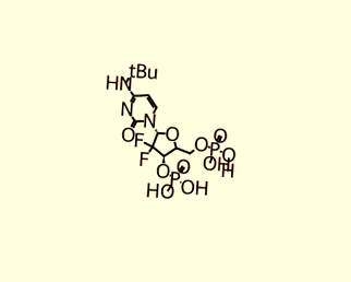 CC(C)(C)Nc1ccn([C@@H]2OC(COP(=O)(O)O)[C@@H](OP(=O)(O)O)C2(F)F)c(=O)n1